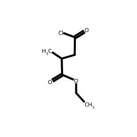 CCOC(=O)C(C)CC(=O)Cl